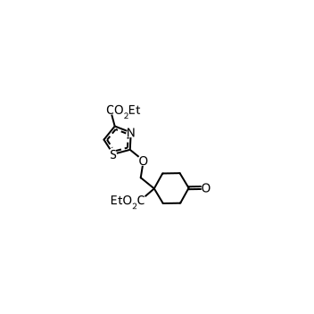 CCOC(=O)c1csc(OCC2(C(=O)OCC)CCC(=O)CC2)n1